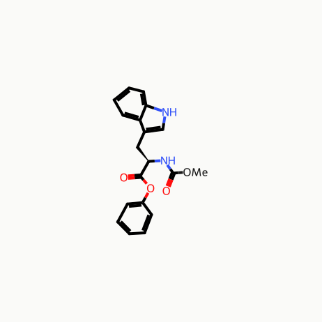 COC(=O)N[C@H](Cc1c[nH]c2ccccc12)C(=O)Oc1ccccc1